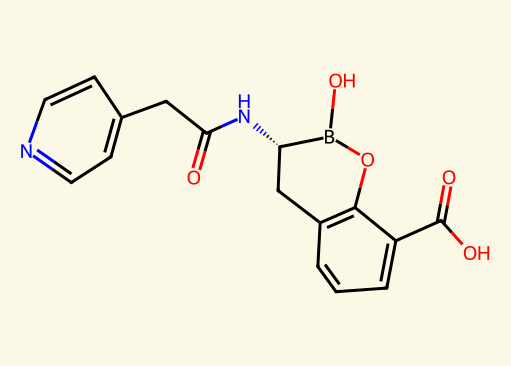 O=C(Cc1ccncc1)N[C@H]1Cc2cccc(C(=O)O)c2OB1O